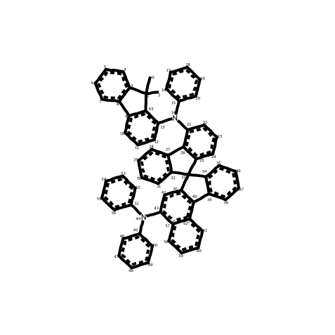 CC1(C)c2ccccc2-c2cccc(N(c3ccccc3)c3cccc4c3-c3ccccc3C43c4ccccc4-c4c3cc(N(c3ccccc3)c3ccccc3)c3ccccc43)c21